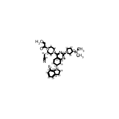 C=CC(=O)N1CCN(c2nc(N3CC[C@@H](N(C)C)C3)nc3c2CC[C@@H](N2CCc4cccc(F)c42)C3)C[C@@H]1CC#N